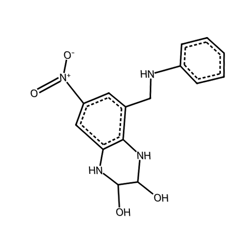 O=[N+]([O-])c1cc(CNc2ccccc2)c2c(c1)NC(O)C(O)N2